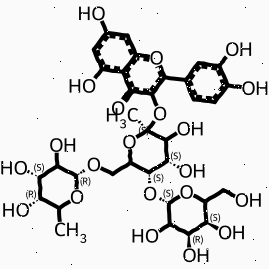 CC1O[C@@H](OCC2O[C@@](C)(Oc3c(-c4ccc(O)c(O)c4)oc4cc(O)cc(O)c4c3=O)C(O)[C@H](O)[C@@H]2O[C@@H]2OC(CO)[C@@H](O)[C@@H](O)C2O)C(O)[C@@H](O)[C@H]1O